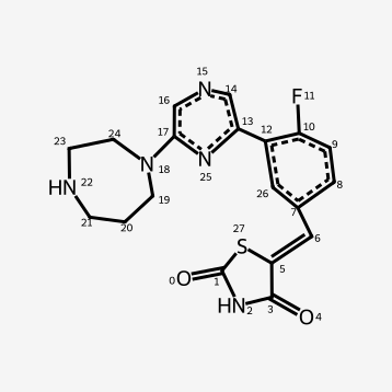 O=C1NC(=O)C(=Cc2ccc(F)c(-c3cncc(N4CCCNCC4)n3)c2)S1